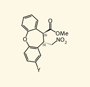 COC(=O)[C@@H]1c2ccccc2Oc2cc[c]([Y])cc2[C@H]1C[N+](=O)[O-]